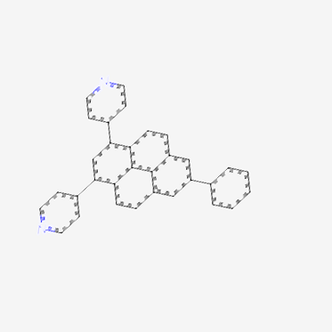 c1ccc(-c2cc3ccc4c(-c5ccncc5)cc(-c5ccncc5)c5ccc(c2)c3c45)cc1